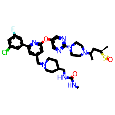 CNC(=O)NCC1CCN(Cc2cc(Oc3cnc(N4CCN(C(C)C[C@@H](C)[S+]=O)CC4)nc3)nc(-c3cc(F)cc(Cl)c3)c2)CC1